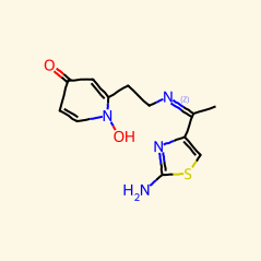 C/C(=N/CCc1cc(=O)ccn1O)c1csc(N)n1